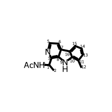 CC(=O)NC(C)c1nccc2c1[nH]c1c(C)cccc12